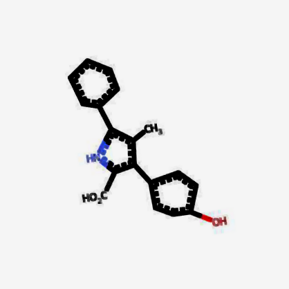 Cc1c(-c2ccccc2)[nH]c(C(=O)O)c1-c1ccc(O)cc1